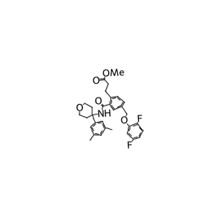 COC(=O)CCc1ccc(COc2cc(F)ccc2F)cc1C(=O)NC1(c2cc(C)cc(C)c2)CCOCC1